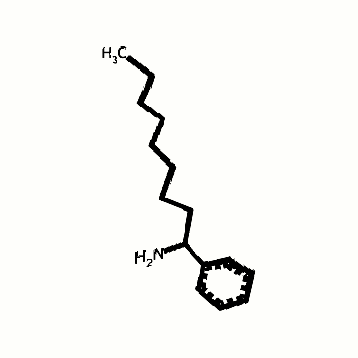 CCCCCCCCC(N)c1[c]cccc1